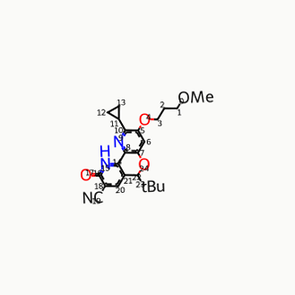 COCCCOc1cc2c(nc1C1CC1)-c1[nH]c(=O)c(C#N)cc1C(C(C)(C)C)O2